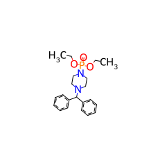 CCOP(=O)(OCC)N1CCN(C(c2ccccc2)c2ccccc2)CC1